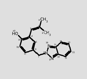 CC(C)=Cc1cc(Cn2nc3ccccc3n2)ccc1O